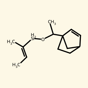 CC=C(C)[SiH2]OC(C)C12C=CC(CC1)C2